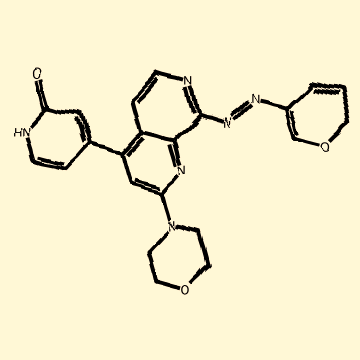 O=c1cc(-c2cc(N3CCOCC3)nc3c(N=NC4=COCC=C4)nccc23)cc[nH]1